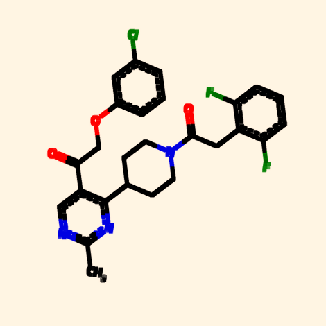 Cc1ncc(C(=O)COc2cccc(Cl)c2)c(C2CCN(C(=O)Cc3c(F)cccc3F)CC2)n1